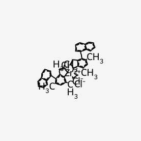 CC1=Cc2c(-c3cccc4ccccc34)c(C)cc(C)c2[CH]1[Zr+2]1([CH]2C(C)=Cc3c(-c4cccc5ccccc45)c(C)cc(C)c32)[CH2][CH2]1.[Cl-].[Cl-]